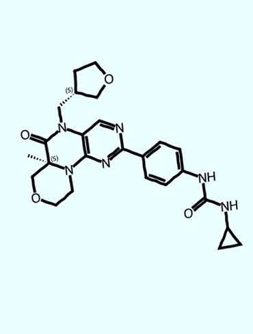 C[C@@]12COCCN1c1nc(-c3ccc(NC(=O)NC4CC4)cc3)ncc1N(C[C@@H]1CCOC1)C2=O